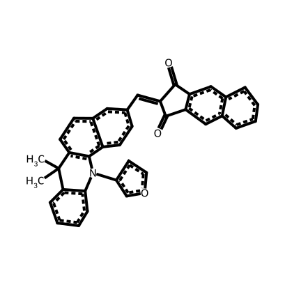 CC1(C)c2ccccc2N(c2ccoc2)c2c1ccc1cc(C=C3C(=O)c4cc5ccccc5cc4C3=O)ccc21